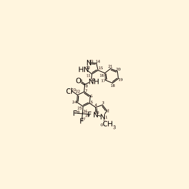 Cn1ccc(-c2cc(C(=O)Nc3[nH]ncc3-c3ccccc3)c(Cl)cc2C(F)(F)F)n1